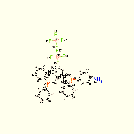 C[C](C)(C)[Pd+2]([CH2]C#N)([CH2]P(c1ccccc1)c1ccccc1)[CH](C#N)CP(c1ccccc1)c1ccccc1.F[B-](F)(F)F.F[B-](F)(F)F.N